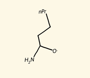 CCCCCC(N)[O]